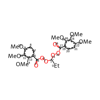 [CH2]C[C](OOC(=O)c1ccc(OC)c(OC)c1OC)OOC(=O)c1ccc(OC)c(OC)c1OC